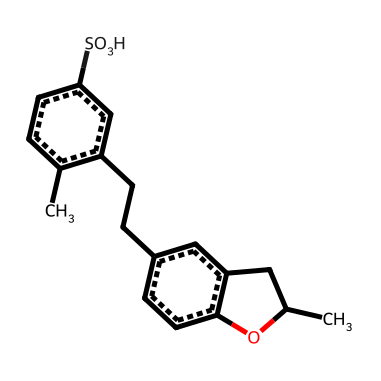 Cc1ccc(S(=O)(=O)O)cc1CCc1ccc2c(c1)CC(C)O2